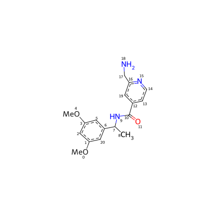 COc1cc(OC)cc(C(C)NC(=O)c2ccnc(CN)c2)c1